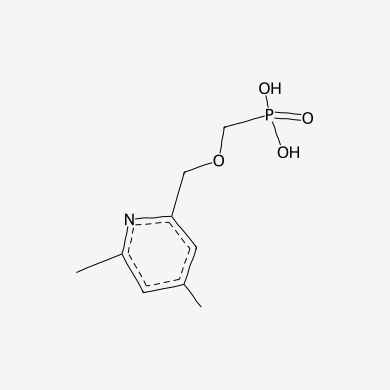 Cc1cc(C)nc(COCP(=O)(O)O)c1